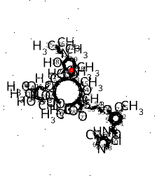 CC[C@H]1OC(=O)[C@H](C)[C@@H](O[C@H]2C[C@@](C)(OC)[C@@H](O)[C@H](C)O2)[C@H](C)[C@@H](O[C@@H]2O[C@H](C)C[C@H](N(C)CC(C)C)[C@H]2O)[C@](C)(OC)C[C@@H](C)C(=O)[C@H](C)[C@H]2[C@H](SCCCOc3cc(C(=O)Nc4c(Cl)cncc4Cl)ccc3OC)C(=O)O[C@@]21C